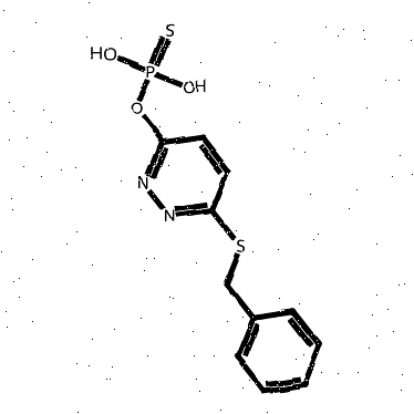 OP(O)(=S)Oc1ccc(SCc2ccccc2)nn1